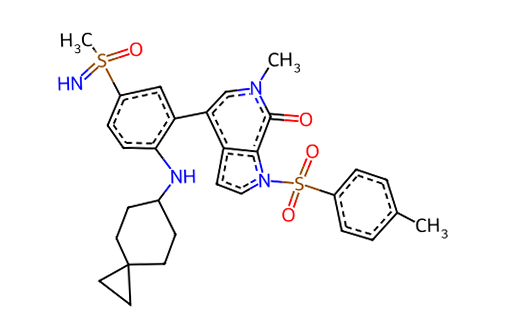 Cc1ccc(S(=O)(=O)n2ccc3c(-c4cc(S(C)(=N)=O)ccc4NC4CCC5(CC4)CC5)cn(C)c(=O)c32)cc1